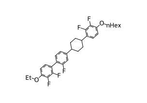 CCCCCCOc1ccc(C2CCC(c3ccc(-c4ccc(OCC)c(F)c4F)c(F)c3)CC2)c(F)c1F